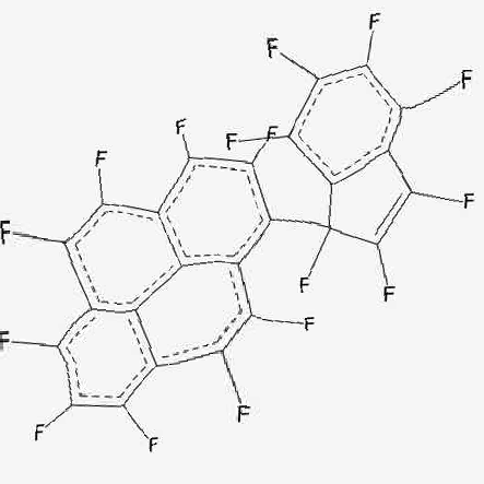 FC1=C(F)C(F)(c2c(F)c(F)c3c(F)c(F)c4c(F)c(F)c(F)c5c(F)c(F)c2c3c45)c2c(F)c(F)c(F)c(F)c21